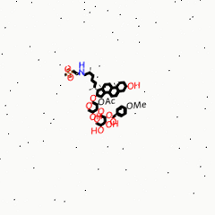 COc1ccc(C(=O)O[C@@H]2C(O)[C@H](O)CO[C@H]2OC2[C@@H](OC(C)=O)[C@@H](O[C@H]3CC4C5CC=C6C[C@@H](O)CC[C@]6(C)C5CC[C@]4(C)[C@H]3[C@H](C)CCC[C@@H](C)CNCCS(C)(=O)=O)OC[C@@H]2O)cc1